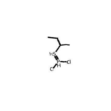 CCC(C)[SH]=[PH](Cl)Cl